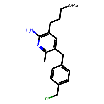 COCCCc1cc(Cc2ccc(CCl)cc2)c(C)nc1N